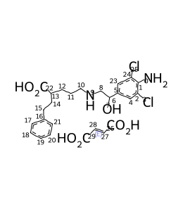 Nc1c(Cl)cc(C(O)CNCCCC(CCc2ccccc2)C(=O)O)cc1Cl.O=C(O)/C=C/C(=O)O